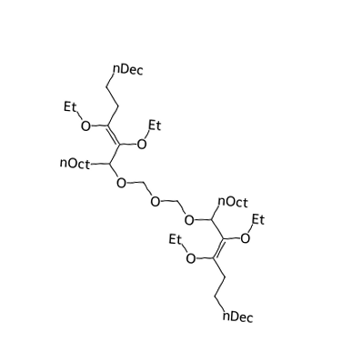 CCCCCCCCCCCCC(OCC)=C(OCC)C(CCCCCCCC)OCOCOC(CCCCCCCC)C(OCC)=C(CCCCCCCCCCCC)OCC